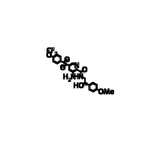 COc1ccc([C@@H](O)CNC(=O)c2ncc(S(=O)(=O)c3ccc(OC(F)(F)F)cc3)cc2N)cc1